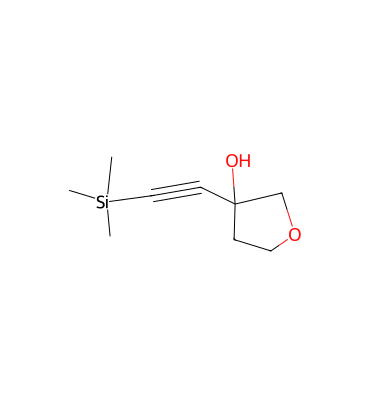 C[Si](C)(C)C#CC1(O)CCOC1